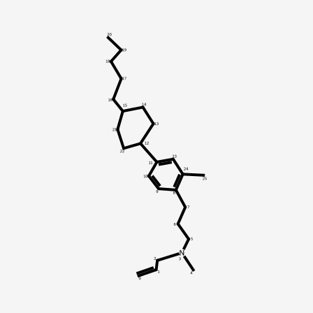 C=CCN(C)CCCc1ccc(C2CCC(CCCCC)CC2)cc1C